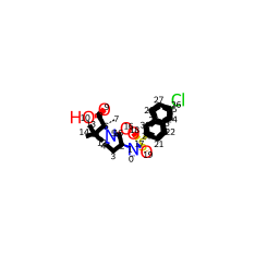 CN([C@H]1CCN([C@](C)(C(=O)O)C(C)(C)C)C1=O)S(=O)(=O)c1ccc2cc(Cl)ccc2c1